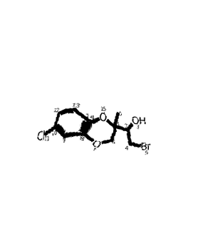 CC1(C(O)CBr)COc2cc(Cl)ccc2O1